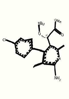 COC(=O)[C@@H](OC(C)(C)C)c1c(C)nc(N)c(C)c1-c1ccc(Cl)cc1